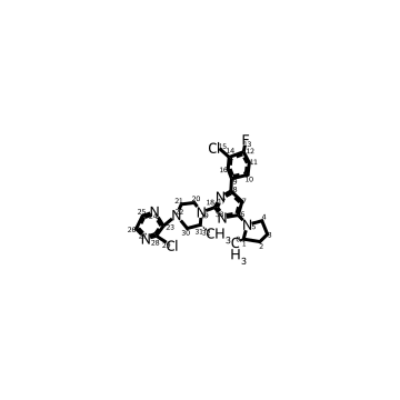 C[C@@H]1CCCN1c1cc(-c2ccc(F)c(Cl)c2)nc(N2CCN(c3nccnc3Cl)C[C@H]2C)n1